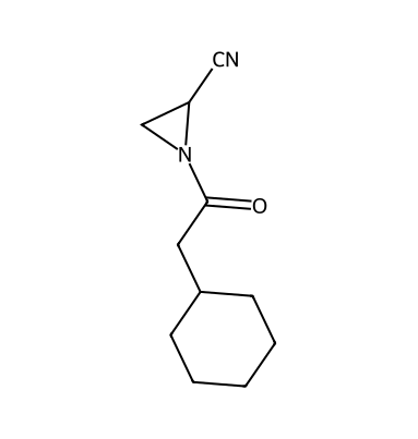 N#CC1CN1C(=O)CC1CCCCC1